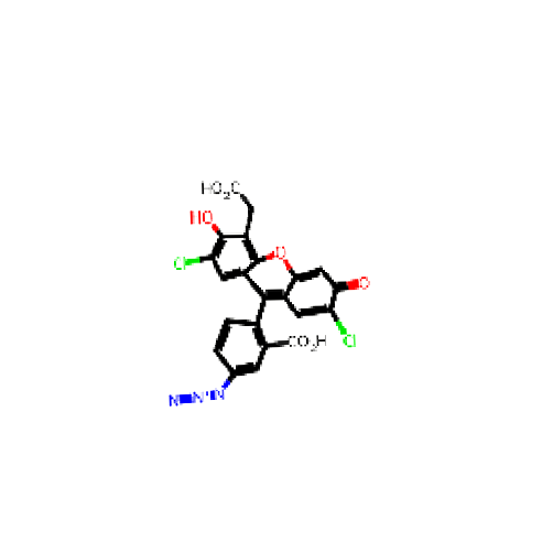 [N-]=[N+]=Nc1ccc(-c2c3cc(Cl)c(=O)cc-3oc3c(CC(=O)O)c(O)c(Cl)cc23)c(C(=O)O)c1